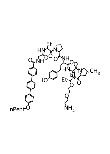 CCCCCOc1ccc(-c2ccc(-c3ccc(C(=O)NCC(=O)NC(CC)C(=O)N4CCCC4C(=O)NC(CCc4ccc(O)cc4)C(=O)NC(CC)C(=O)N4C[C@H](C)CC4C(=O)NC(CC)OCCOCCN)cc3)cc2)cc1